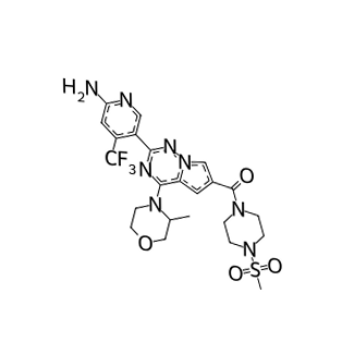 CC1COCCN1c1nc(-c2cnc(N)cc2C(F)(F)F)nn2cc(C(=O)N3CCN(S(C)(=O)=O)CC3)cc12